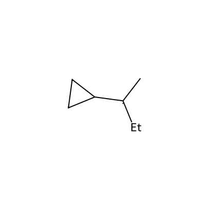 CC[C](C)C1CC1